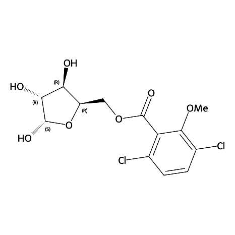 COc1c(Cl)ccc(Cl)c1C(=O)OC[C@H]1O[C@H](O)[C@H](O)[C@H]1O